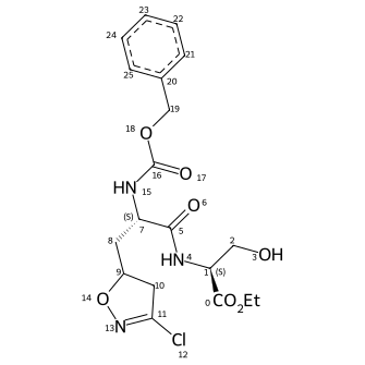 CCOC(=O)[C@H](CO)NC(=O)[C@H](CC1CC(Cl)=NO1)NC(=O)OCc1ccccc1